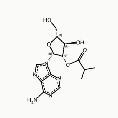 CC(C)C(=O)O[C@H]1[C@H](O)[C@@H](CO)O[C@H]1n1cnc2c(N)ncnc21